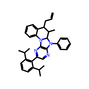 C=CCC1c2ccccc2N2c3nc(-c4c(C(C)C)cccc4C(C)C)cnc3N(c3ccccc3)C2C1C